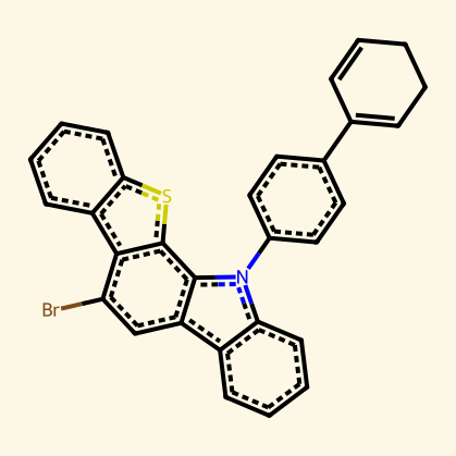 Brc1cc2c3ccccc3n(-c3ccc(C4=CCCC=C4)cc3)c2c2sc3ccccc3c12